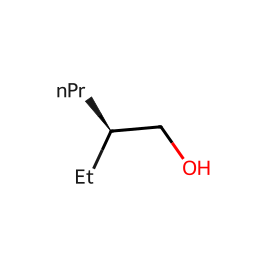 CCC[C@H](CC)CO